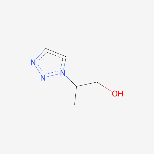 CC(CO)n1ccnn1